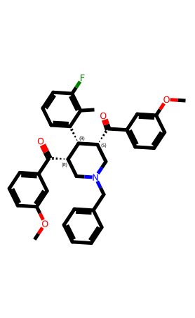 COc1cccc(C(=O)[C@H]2CN(Cc3ccccc3)C[C@@H](C(=O)c3cccc(OC)c3)[C@H]2c2cccc(F)c2C)c1